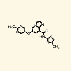 Cc1csc(NC(=O)c2cc(Oc3cnc(C)nc3)cn3ccnc23)n1